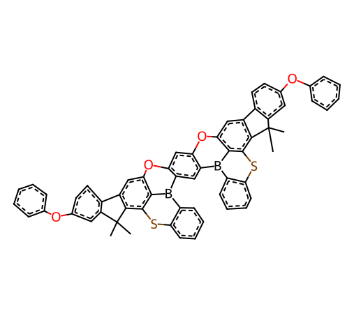 CC1(C)c2cc(Oc3ccccc3)ccc2-c2cc3c4c(c21)Sc1ccccc1B4c1cc2c(cc1O3)Oc1cc3c(c4c1B2c1ccccc1S4)C(C)(C)c1cc(Oc2ccccc2)ccc1-3